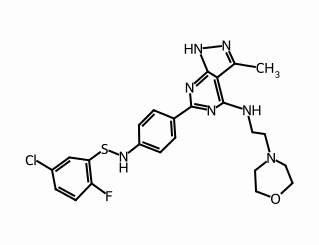 Cc1n[nH]c2nc(-c3ccc(NSc4cc(Cl)ccc4F)cc3)nc(NCCN3CCOCC3)c12